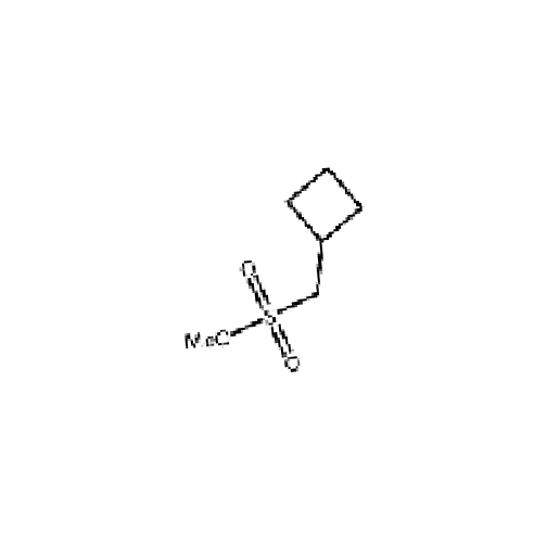 COS(=O)(=O)CC1CCC1